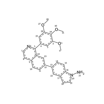 COc1cc(-c2nccc3ccc(-c4ccc5c(ccn5N)c4)cc23)cc(OC)c1OC